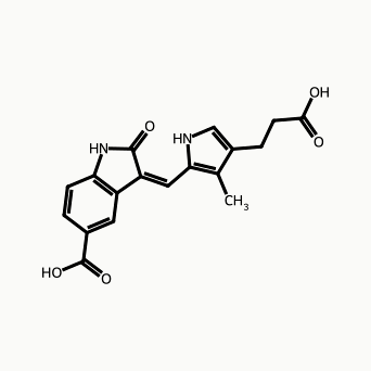 Cc1c(CCC(=O)O)c[nH]c1C=C1C(=O)Nc2ccc(C(=O)O)cc21